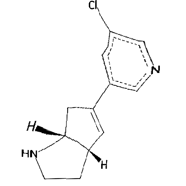 Clc1cncc(C2=C[C@@H]3CCN[C@@H]3C2)c1